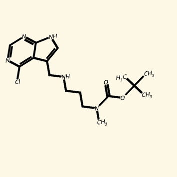 CN(CCCNCc1c[nH]c2ncnc(Cl)c12)C(=O)OC(C)(C)C